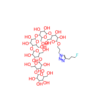 OCC1OC(OC2C(CO)OC(OC3C(CO)OC(OC4C(CO)OC(OC5C(CO)OC(OC6C(CO)OC(OCCCn7cc(CCCF)nn7)C(O)C6O)C(O)C5O)C(O)C4O)C(O)C3O)C(O)C2O)C(O)C(O)C1O